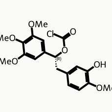 COc1ccc(C[C@@H](OC(=O)Cl)c2cc(OC)c(OC)c(OC)c2)cc1O